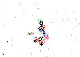 Br.CC(C)(CNC(=O)C1CCCN1C(=O)c1ccc(Cl)cc1)NCC(O)c1ccc(OC(=O)C(C)(C)C)c(OC(=O)C(C)(C)C)c1